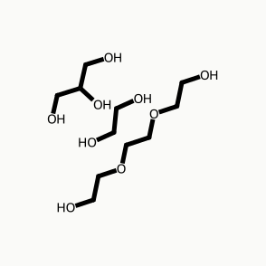 OCC(O)CO.OCCO.OCCOCCOCCO